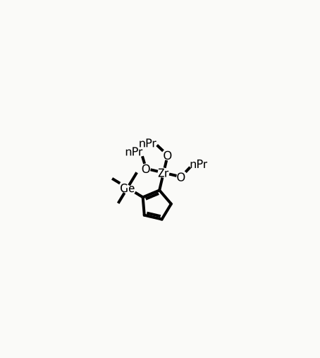 CCC[O][Zr]([O]CCC)([O]CCC)[C]1=[C]([Ge]([CH3])([CH3])[CH3])C=CC1